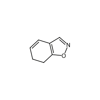 C1=Cc2cnoc2CC1